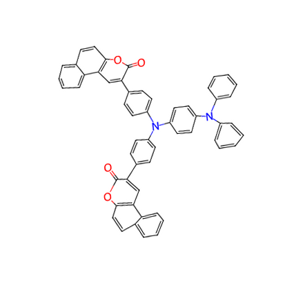 O=c1oc2ccc3ccccc3c2cc1-c1ccc(N(c2ccc(-c3cc4c(ccc5ccccc54)oc3=O)cc2)c2ccc(N(c3ccccc3)c3ccccc3)cc2)cc1